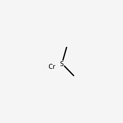 CSC.[Cr]